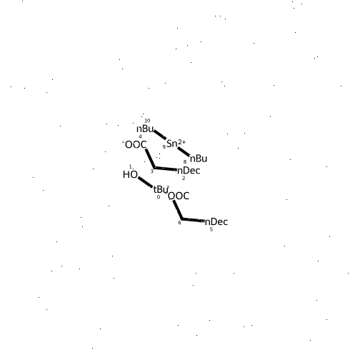 CC(C)(C)O.CCCCCCCCCCCC(=O)[O-].CCCCCCCCCCCC(=O)[O-].CCC[CH2][Sn+2][CH2]CCC